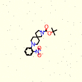 CC(C)(C)OC(=O)N1CCC2(CCN(c3ccccc3[N+](=O)[O-])CC2)C1